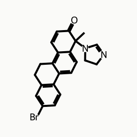 CC1(N2C=NCC2)C(=O)C=Cc2c1ccc1c2CCc2cc(Br)ccc2-1